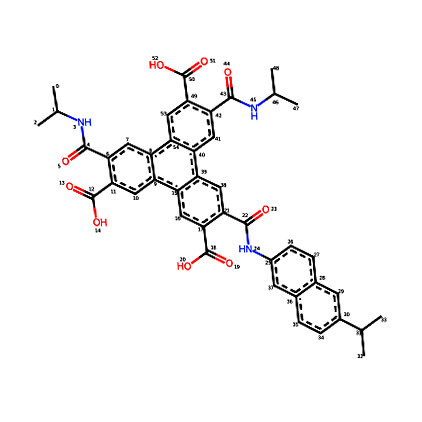 CC(C)NC(=O)c1cc2c(cc1C(=O)O)c1cc(C(=O)O)c(C(=O)Nc3ccc4cc(C(C)C)ccc4c3)cc1c1cc(C(=O)NC(C)C)c(C(=O)O)cc21